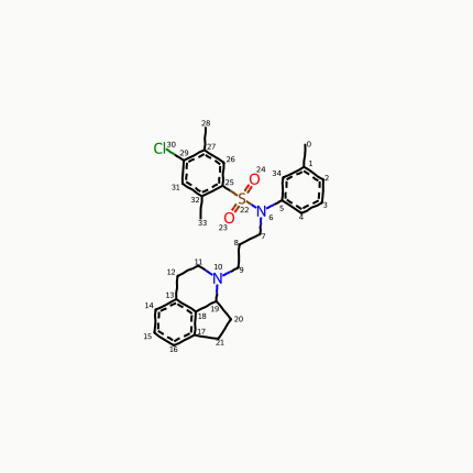 Cc1cccc(N(CCCN2CCc3cccc4c3C2CC4)S(=O)(=O)c2cc(C)c(Cl)cc2C)c1